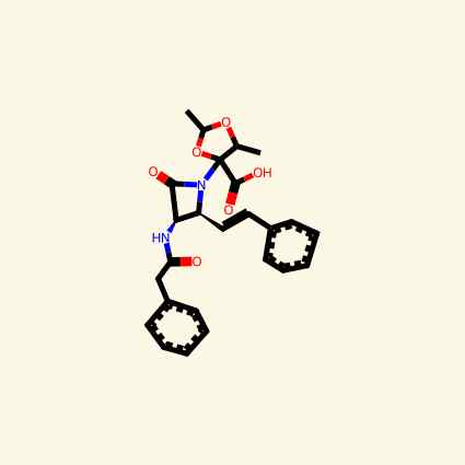 CC1OC(C)C(C(=O)O)(N2C(=O)[C@H](NC(=O)Cc3ccccc3)[C@@H]2C=Cc2ccccc2)O1